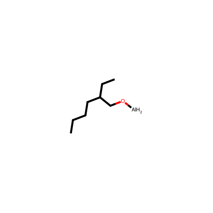 CCCCC(CC)C[O][AlH2]